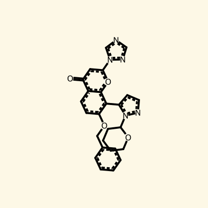 O=c1cc(-n2cncn2)oc2c(-c3ccnn3C3CCCCO3)c(OCc3ccccc3)ccc12